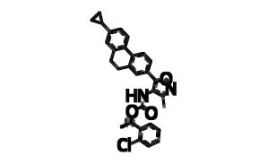 Cc1noc(-c2ccc3c(c2)CCc2cc(C4CC4)ccc2-3)c1NC(=O)O[C@H](C)c1ccccc1Cl